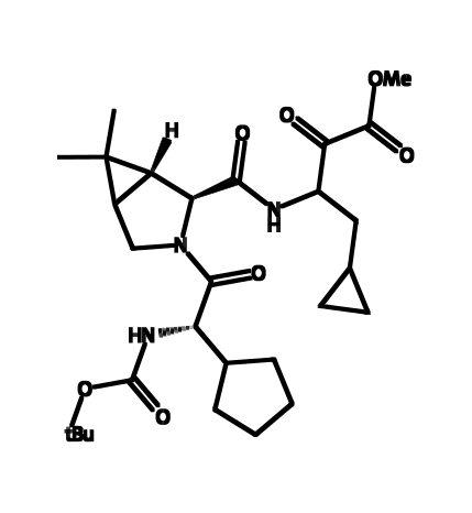 COC(=O)C(=O)C(CC1CC1)NC(=O)[C@@H]1[C@@H]2C(CN1C(=O)[C@@H](NC(=O)OC(C)(C)C)C1CCCC1)C2(C)C